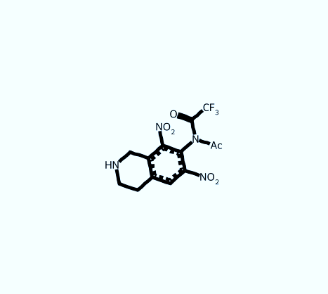 CC(=O)N(C(=O)C(F)(F)F)c1c([N+](=O)[O-])cc2c(c1[N+](=O)[O-])CNCC2